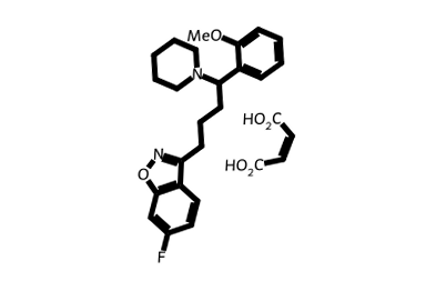 COc1ccccc1C(CCCc1noc2cc(F)ccc12)N1CCCCC1.O=C(O)/C=C\C(=O)O